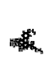 CCOC(=O)c1cc(Br)c2c(c1)C(C1CCC(C)CC1)=CC(C)(C)O2